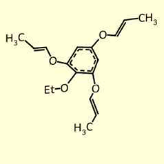 CC=COc1cc(OC=CC)c(OCC)c(OC=CC)c1